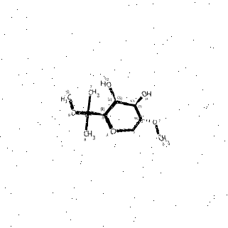 CO[C@@H]1CO[C@@H](C(C)(C)OC)[C@@H](O)[C@H]1O